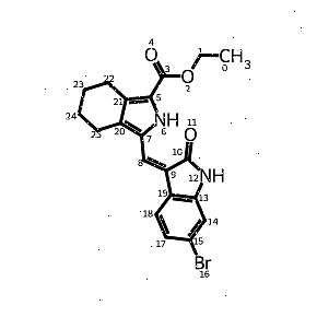 CCOC(=O)c1[nH]c(/C=C2\C(=O)Nc3cc(Br)ccc32)c2c1CCCC2